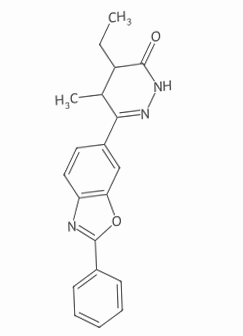 CCC1C(=O)NN=C(c2ccc3nc(-c4ccccc4)oc3c2)C1C